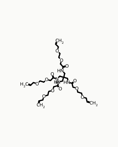 C=CCOCCOCC(=O)NCC(CNC(=O)COCCOCC=C)(CNC(=O)COCCOCC=C)CNC(=O)COCCOCC=C